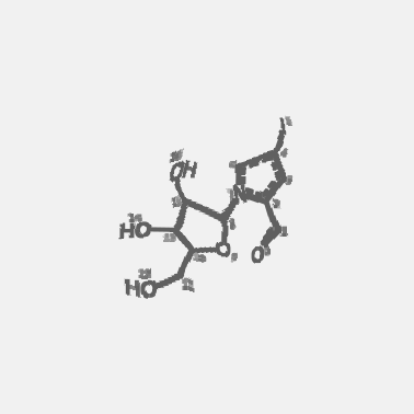 O=Cc1cc(I)cn1C1OC(CO)C(O)C1O